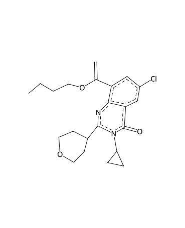 C=C(OCCCC)c1cc(Cl)cc2c(=O)n(C3CC3)c(C3CCOCC3)nc12